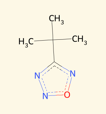 CC(C)(C)c1nnon1